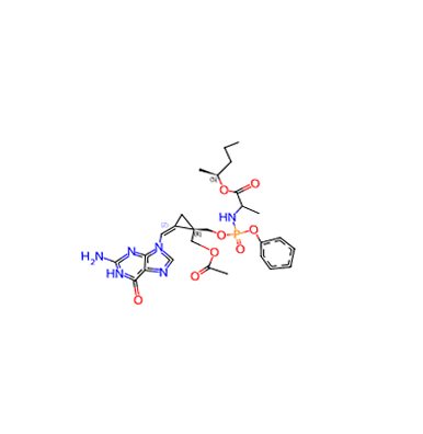 CCC[C@H](C)OC(=O)C(C)NP(=O)(OC[C@]1(COC(C)=O)C/C1=C/n1cnc2c(=O)[nH]c(N)nc21)Oc1ccccc1